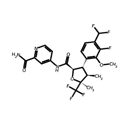 COc1c([C@@H]2[C@@H](C)[C@@](C)(C(F)(F)F)O[C@H]2C(=O)Nc2ccnc(C(N)=O)c2)ccc(C(F)F)c1F